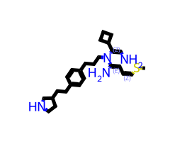 CS/C=C\C=C(/N)N(CCCc1ccc(CCC2CCNC2)cc1)/C(=C\N)C1CCC1